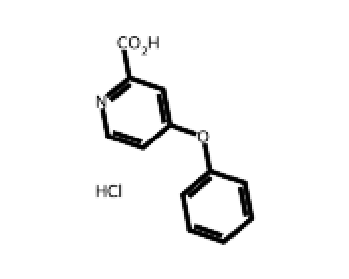 Cl.O=C(O)c1cc(Oc2ccccc2)ccn1